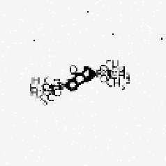 CC1(C)OB(c2ccc3c(c2)C(=O)C2=Cc4cc2c-3cc4B2OC(C)(C)C(C)(C)O2)OC1(C)C